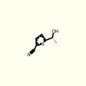 C[C@@H](O)c1ccc(C#N)s1